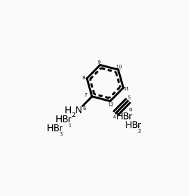 Br.Br.Br.Br.C#C.Nc1ccccc1